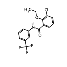 CCOc1c(Cl)cccc1C(=O)Nc1cccc(C(F)(F)F)c1